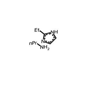 CCCN.CCc1ncc[nH]1